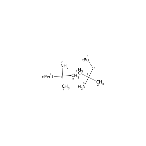 CC(C)(C)CC(C)(C)N.CCCCCC(C)(C)N